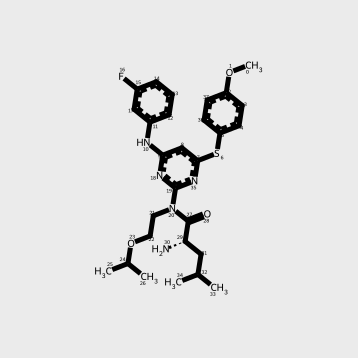 COc1ccc(Sc2cc(Nc3cccc(F)c3)nc(N(CCOC(C)C)C(=O)[C@@H](N)CC(C)C)n2)cc1